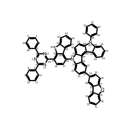 c1ccc(-c2nc(-c3ccccc3)nc(-c3ccc(-n4c5ccc(-c6ccc7oc8ccccc8c7c6)cc5c5c6c7ccccc7n(-c7ccccc7)c6ccc54)c4c3sc3ccccc34)n2)cc1